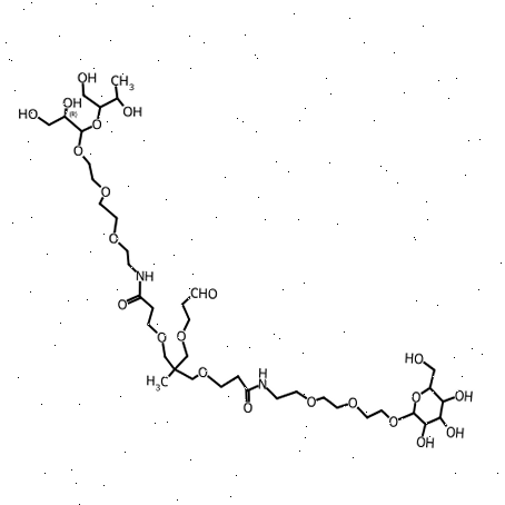 CC(O)C(CO)OC(OCCOCCOCCNC(=O)CCOCC(C)(COCCC=O)COCCC(=O)NCCOCCOCCOC1OC(CO)C(O)C(O)C1O)[C@H](O)CO